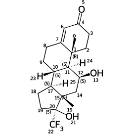 C[C@]12CCC(=O)C=C1CC[C@@H]1[C@@H]2[C@@H](O)C[C@@]2(C)[C@H]1CC[C@@]2(O)C(F)(F)F